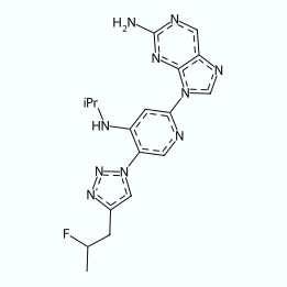 CC(F)Cc1cn(-c2cnc(-n3cnc4cnc(N)nc43)cc2NC(C)C)nn1